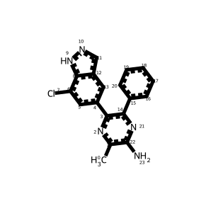 Cc1nc(-c2cc(Cl)c3[nH]ncc3c2)c(-c2ccccc2)nc1N